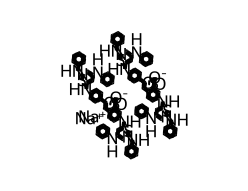 O=S(=O)([O-])c1cc(NC2=CC(Nc3ccccc3)=CN(Nc3ccccc3)S2)ccc1C=Cc1ccc(NC2=CC(Nc3ccccc3)=CN(Nc3ccccc3)S2)cc1.O=S(=O)([O-])c1cc(NC2=CC(Nc3ccccc3)=CN(Nc3ccccc3)S2)ccc1C=Cc1ccc(NC2=CC(Nc3ccccc3)=CN(Nc3ccccc3)S2)cc1.[Na+].[Na+]